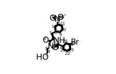 O=C(NCCO)/C(=C/c1cccc([N+](=O)[O-])c1)NC(=O)c1cccc(Br)c1